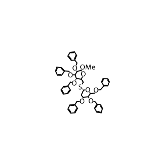 CO[C@H]1OC(CS[C@H]2CC(OCc3ccccc3)[C@H](OCc3ccccc3)C(COCc3ccccc3)O2)[C@@H](OCc2ccccc2)C(OCc2ccccc2)C1OCc1ccccc1